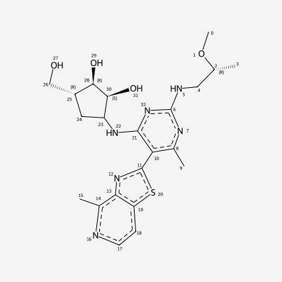 CO[C@H](C)CNc1nc(C)c(-c2nc3c(C)nccc3s2)c(NC2C[C@H](CO)[C@@H](O)[C@H]2O)n1